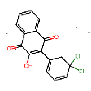 O=C1C(O)=C(C2=CC=CC(Cl)(Cl)C2)C(=O)c2ccccc21